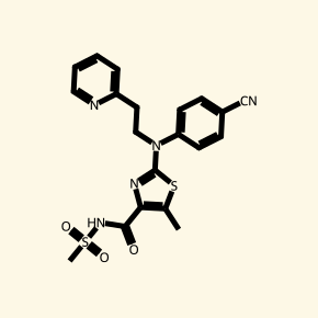 Cc1sc(N(CCc2ccccn2)c2ccc(C#N)cc2)nc1C(=O)NS(C)(=O)=O